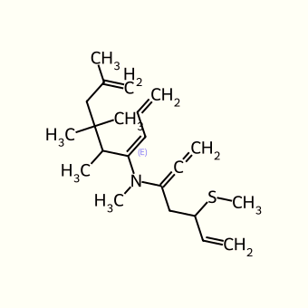 C=C=C(CC(C=C)SC)N(C)/C(=C/C=C)C(C)C(C)(C)CC(=C)C